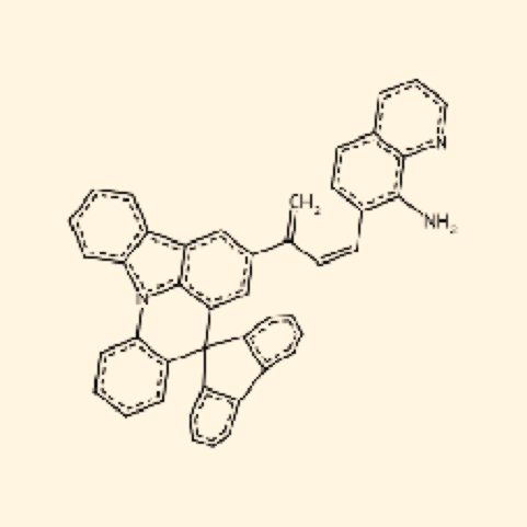 C=C(/C=C\c1ccc2cccnc2c1N)c1cc2c3c(c1)c1ccccc1n3-c1ccccc1C21c2ccccc2-c2ccccc21